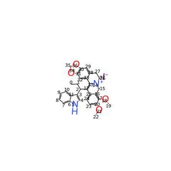 CCC(c1c[nH]c2ccccc12)c1c2[n+](cc3c(OC)c(OC)ccc13)CCc1cc3c(cc1-2)OCO3.[I-]